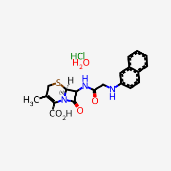 CC1=C(C(=O)O)N2C(=O)C(NC(=O)CNc3ccc4ccccc4c3)[C@@H]2SC1.Cl.O